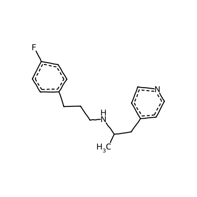 CC(Cc1ccncc1)NCCCc1ccc(F)cc1